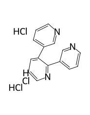 Cl.Cl.Cl.c1cncc(-c2cccnc2-c2cccnc2)c1